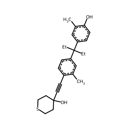 CCC(CC)(c1ccc(O)c(C)c1)c1ccc(C#CC2(O)CCSCC2)c(C)c1